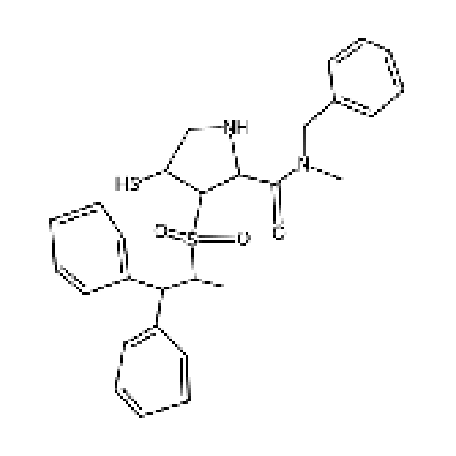 CC(C(c1ccccc1)c1ccccc1)S(=O)(=O)C1C(S)CNC1C(=O)N(C)Cc1ccccc1